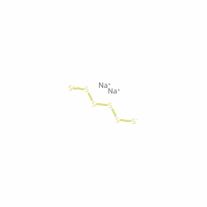 [Na+].[Na+].[S-]SSSS[S-]